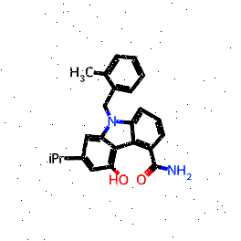 Cc1ccccc1Cn1c2cc(C(C)C)cc(O)c2c2c(C(N)=O)cccc21